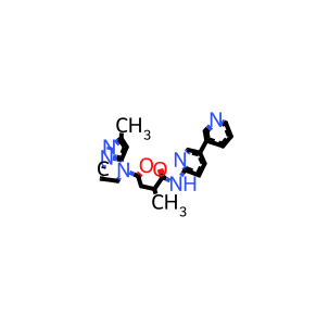 Cc1cc2n(n1)CCCN2C(=O)CC(C)C(=O)Nc1ccc(-c2cccnc2)cn1